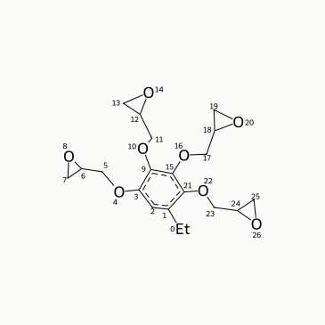 CCc1cc(OCC2CO2)c(OCC2CO2)c(OCC2CO2)c1OCC1CO1